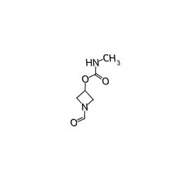 CNC(=O)OC1CN(C=O)C1